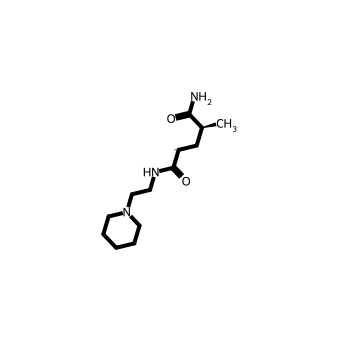 C[C@@H](C[CH]C(=O)NCCN1CCCCC1)C(N)=O